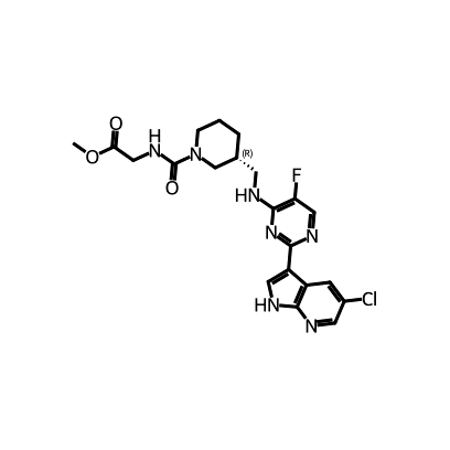 COC(=O)CNC(=O)N1CCC[C@H](CNc2nc(-c3c[nH]c4ncc(Cl)cc34)ncc2F)C1